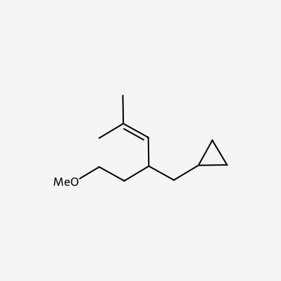 COCCC(C=C(C)C)CC1CC1